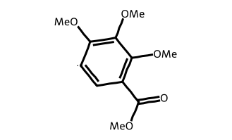 COC(=O)c1c[c]c(OC)c(OC)c1OC